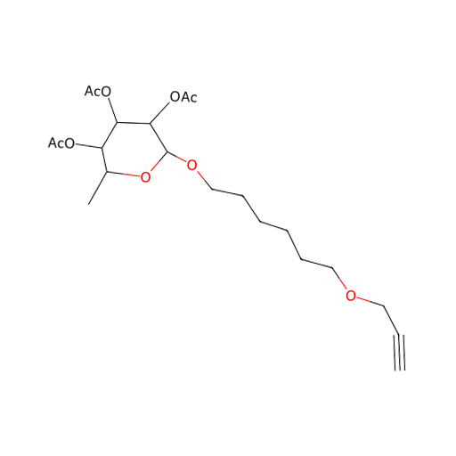 C#CCOCCCCCCOC1OC(C)C(OC(C)=O)C(OC(C)=O)C1OC(C)=O